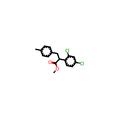 COC(=O)C(Cc1ccc(C)cc1)c1ccc(Cl)cc1Cl